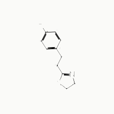 Fc1ccc(CCC2=N[CH]CS2)cc1